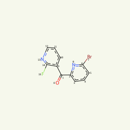 O=C(c1cccc(Br)n1)c1cccnc1F